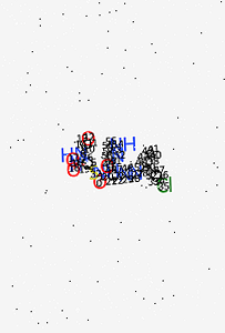 O=C(NSc1ccc(NC2CCOCC2)c([N+](=O)[O-])c1)c1ccc(N2CCN(CC3=C(c4ccc(Cl)cc4)CC4(CCC4)CC3)CC2)cc1Oc1cnc2[nH]ccc2c1